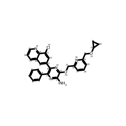 Nc1nc(-c2ccccc2)c(-c2cc(Cl)c3ncccc3c2)nc1OCc1cccc(COC2CC2)n1